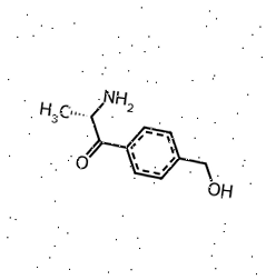 C[C@H](N)C(=O)c1ccc(CO)cc1